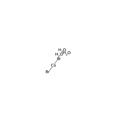 O.O.O.[Br][Co][Br]